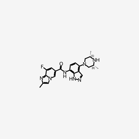 Cc1cn2cc(C(=O)Nc3ccc(N4C[C@@H](C)N[C@@H](C)C4)c4cn[nH]c34)cc(F)c2n1